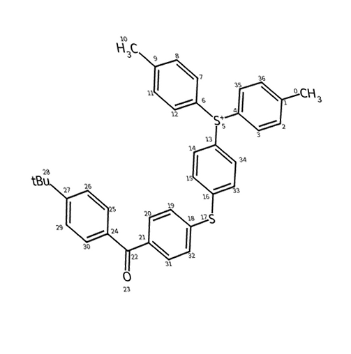 Cc1ccc([S+](c2ccc(C)cc2)c2ccc(Sc3ccc(C(=O)c4ccc(C(C)(C)C)cc4)cc3)cc2)cc1